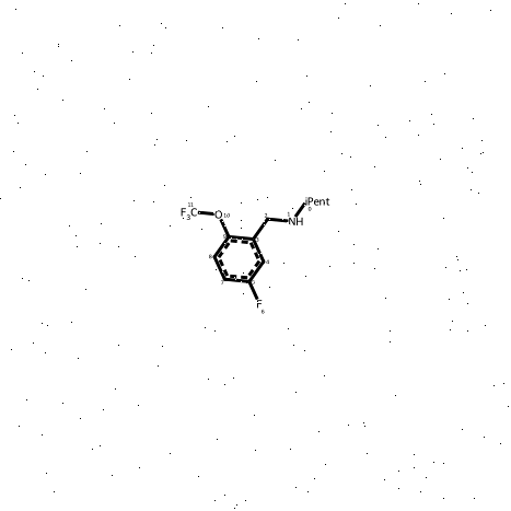 CCCC(C)NCc1cc(F)ccc1OC(F)(F)F